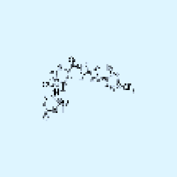 O=C1CCC(N2Cc3cc(C(=O)N4CC5(CC(c6ccc(C(F)(F)F)cc6F)C5)C4)ccc3C2=O)C(=O)N1